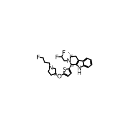 C[C@@H]1Cc2c([nH]c3ccccc23)[C@@H](c2ccc(O[C@@H]3CCN(CCCF)C3)s2)N1CC(F)F